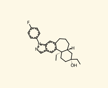 CC[C@@]1(O)CC[C@@]2(CC)c3cc4cnn(-c5ccc(F)cc5)c4cc3CCC[C@@H]2C1